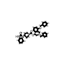 O=C(OCC[As](Cc1ccccc1)Cc1ccccc1OCc1ccccc1)N1CCC(n2c(=O)[nH]c3ccccc32)CC1